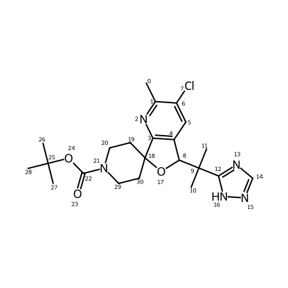 Cc1nc2c(cc1Cl)C(C(C)(C)c1ncn[nH]1)OC21CCN(C(=O)OC(C)(C)C)CC1